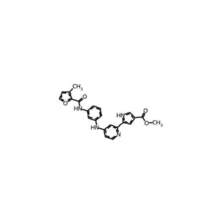 COC(=O)c1c[nH]c(-c2cc(Nc3cccc(NC(=O)c4occc4C)c3)ccn2)c1